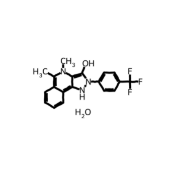 CC1=c2ccccc2=C2NN(c3ccc(C(F)(F)F)cc3)C(O)=C2N1C.O